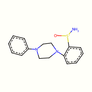 N[S+]([O-])c1ccccc1N1CCN(c2ccccc2)CC1